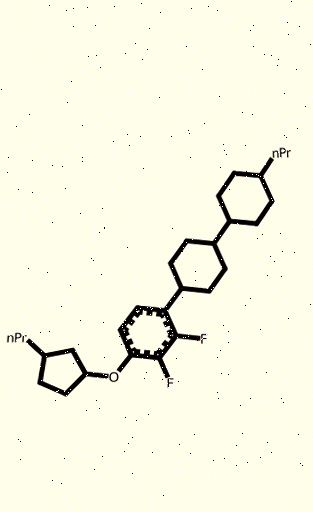 CCCC1CCC(C2CCC(c3ccc(OC4CCC(CCC)C4)c(F)c3F)CC2)CC1